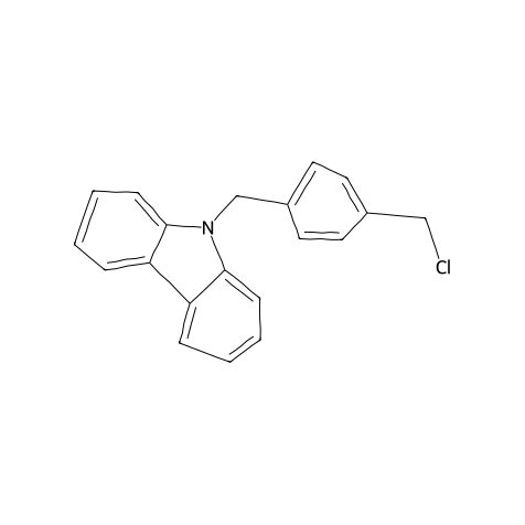 ClCc1ccc(Cn2c3ccccc3c3ccccc32)cc1